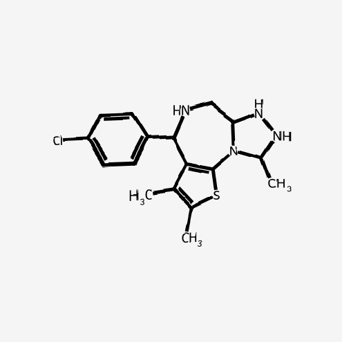 Cc1sc2c(c1C)C(c1ccc(Cl)cc1)NCC1NNC(C)N21